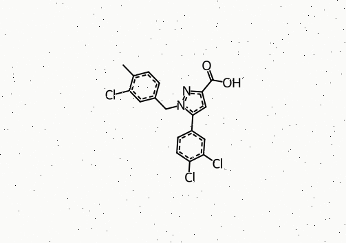 Cc1ccc(Cn2nc(C(=O)O)cc2-c2ccc(Cl)c(Cl)c2)cc1Cl